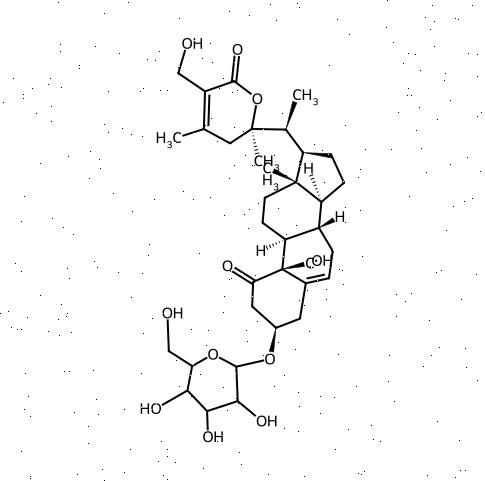 CC1=C(CO)C(=O)O[C@@](C)([C@@H](C)[C@H]2CC[C@H]3[C@@H]4CC=C5C[C@@H](OC6OC(CO)C(O)C(O)C6O)CC(=O)[C@]5(CO)[C@H]4CC[C@]23C)C1